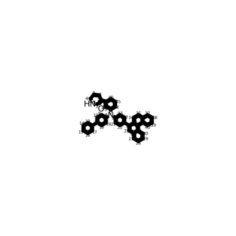 C1=Cc2c(oc3c(N(c4ccc(-c5ccccc5)cc4)c4ccc(-c5cc6ccccc6c6c5ccc5ccccc56)cc4)cccc23)NC1